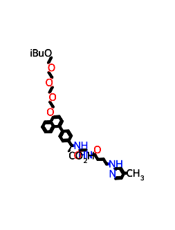 Cc1ccnc(NCCCC(=O)NCC(=O)N[C@@H](CC(=O)O)c2ccc(-c3ccc(OCCOCCOCCOCCOCC(C)C)c4ccccc34)cc2)c1